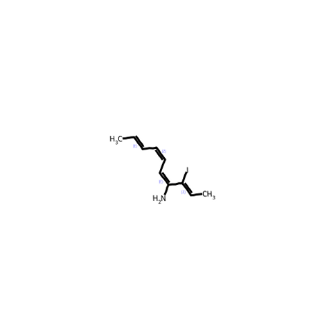 C/C=C(I)/C(N)=C\C=C/C=C/C